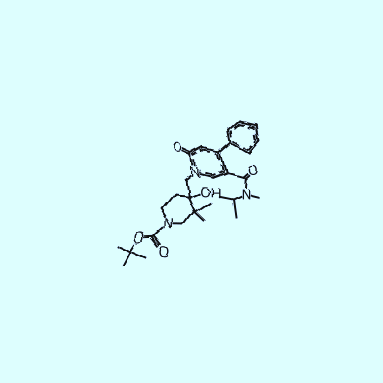 CC(C)N(C)C(=O)c1cn(CC2(O)CCN(C(=O)OC(C)(C)C)CC2(C)C)c(=O)cc1-c1ccccc1